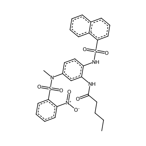 CCCCC(=O)Nc1cc(N(C)S(=O)(=O)c2ccccc2[N+](=O)[O-])ccc1NS(=O)(=O)c1cccc2ccccc12